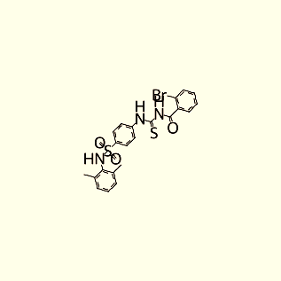 Cc1cccc(C)c1NS(=O)(=O)c1ccc(NC(=S)NC(=O)c2ccccc2Br)cc1